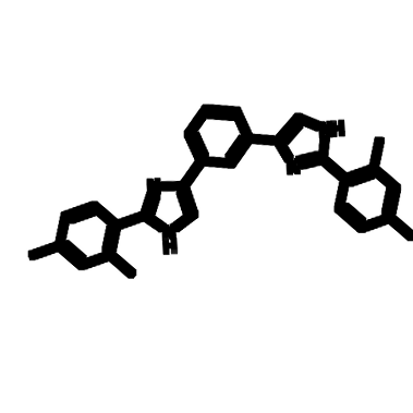 Cc1ccc(-c2nc(-c3cccc(-c4c[nH]c(-c5ccc(C)cc5C)n4)c3)c[nH]2)c(C)c1